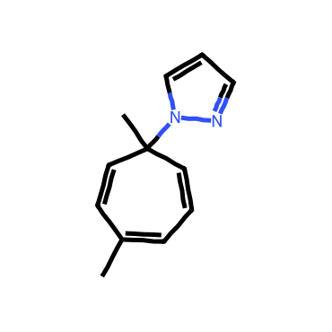 CC1=CC=CC(C)(n2cccn2)C=C1